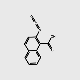 O=C=Nc1ccc2ccccc2c1C(=O)O